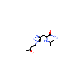 CC(=O)CCn1cc(CC(NC(C)C)C(N)=O)nn1